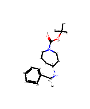 C[C@@H](N[C@@H]1CCCN(C(=O)OC(C)(C)C)CC1)c1ccccc1